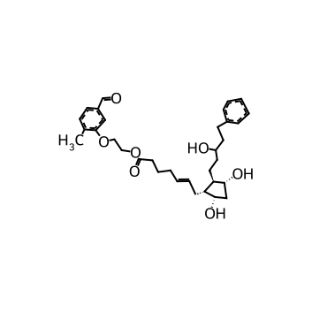 Cc1ccc(C=O)cc1OCCOC(=O)CCCC=CC[C@@H]1[C@@H](CCC(O)CCc2ccccc2)[C@H](O)C[C@@H]1O